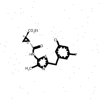 CCOC(=O)[C@@H]1C[C@H]1C(=O)Nc1sc(Cc2cc(F)cc(Cl)c2)nc1C